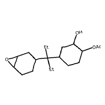 CCC(CC)(C1CCC(OC(C)=O)C(O)C1)C1CCC2OC2C1